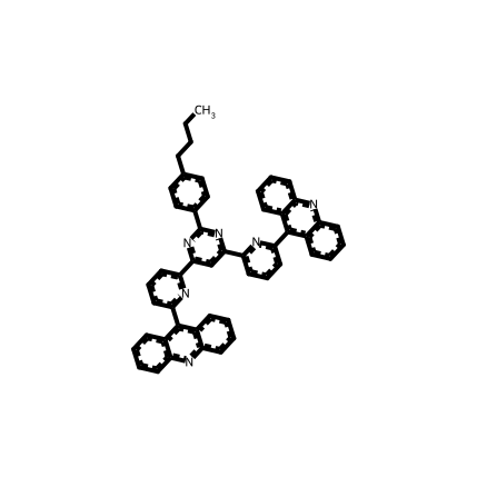 CCCCc1ccc(-c2nc(-c3cccc(-c4c5ccccc5nc5ccccc45)n3)cc(-c3cccc(-c4c5ccccc5nc5ccccc45)n3)n2)cc1